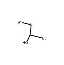 CCC(O)[N]C(C)C